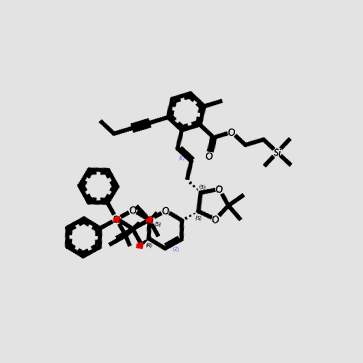 CCC#Cc1ccc(C)c(C(=O)OCC[Si](C)(C)C)c1/C=C/C[C@@H]1OC(C)(C)O[C@@H]1C(/C=C\[C@@H](C)[C@H](C)O[Si](c1ccccc1)(c1ccccc1)C(C)(C)C)O[Si](C)(C)C(C)(C)C